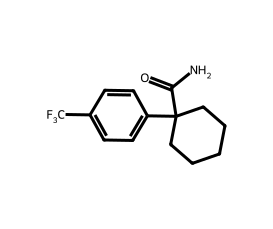 NC(=O)C1(c2ccc(C(F)(F)F)cc2)CCCCC1